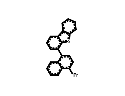 CC(C)c1ccc(-c2cccc3c2sc2ccccc23)c2ccccc12